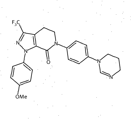 COc1ccc(-n2nc(C(F)(F)F)c3c2C(=O)N(c2ccc(N4C=NCCC4)cc2)CC3)cc1